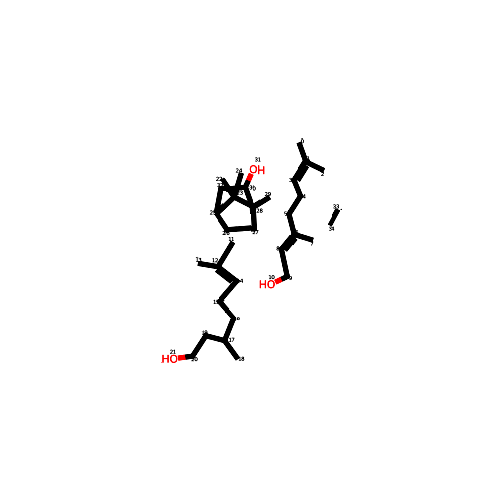 CC(C)=CCC/C(C)=C/CO.CC(C)=CCCC(C)CCO.CC1(C)C2CCC1(C)C(O)C2.[CH2]C